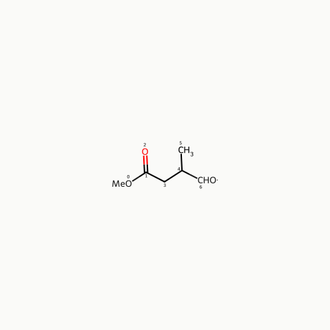 COC(=O)CC(C)[C]=O